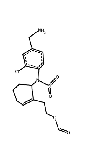 NCc1ccc(N(C2CCCC=C2CCOC=O)[SH](=O)=O)c(Cl)c1